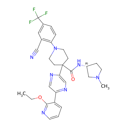 CCOc1ncccc1-c1cnc(C2(C(=O)N[C@@H]3CCN(C)C3)CCN(c3ccc(C(F)(F)F)cc3C#N)CC2)cn1